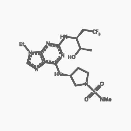 CCn1cnc2c(N[C@H]3CCN(S(=O)(=O)NC)C3)nc(N[C@@H](CC(F)(F)F)[C@@H](C)O)nc21